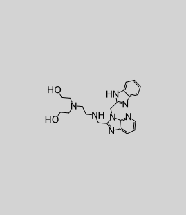 OCCN(CCO)CCNCc1nc2cccnc2n1Cc1nc2ccccc2[nH]1